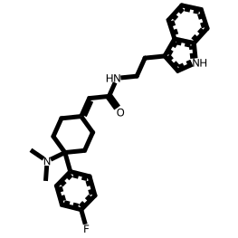 CN(C)C1(c2ccc(F)cc2)CCC(=CC(=O)NCCc2c[nH]c3ccccc23)CC1